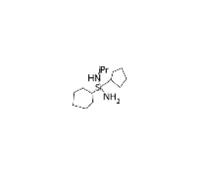 CC(C)N[Si](N)(C1CCCCC1)C1CCCC1